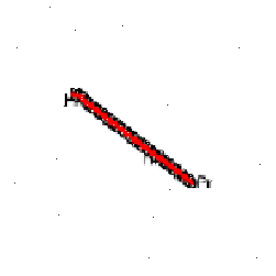 CCCOCCOCCOCCOCCOCCOCCOCCOCCOCCOCCNC(=O)CCOCCOCCOCCOCCOCCOCCOCCOCCOCCOCCOCCOCCOCCOCCOCCOCCOCCOCCOCCOCCOCCOCCOCCOCCNC(=O)CCSSc1ccccn1